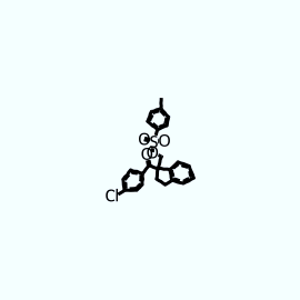 Cc1ccc(S(=O)(=O)OCC2(C(=O)c3ccc(Cl)cc3)CCc3ccccc32)cc1